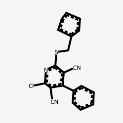 N#Cc1c(Cl)nc(SCc2ccccc2)c(C#N)c1-c1ccccc1